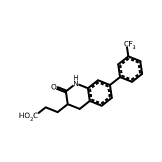 O=C(O)CCC1Cc2ccc(-c3cccc(C(F)(F)F)c3)cc2NC1=O